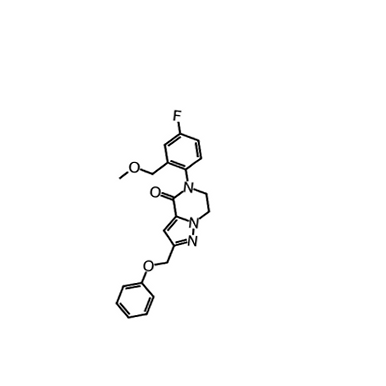 COCc1cc(F)ccc1N1CCn2nc(COc3ccccc3)cc2C1=O